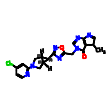 CC1C=Nc2ncn(Cc3nc([C@H]4[C@@H]5CN(c6cc(Cl)ccn6)C[C@@H]54)no3)c(=O)c21